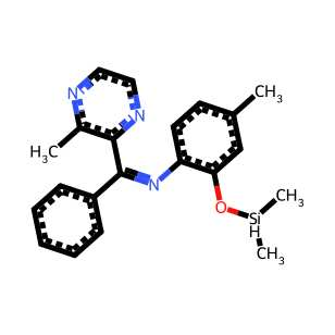 Cc1ccc(N=C(c2ccccc2)c2nccnc2C)c(O[SiH](C)C)c1